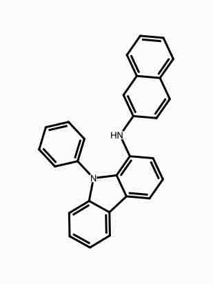 c1ccc(-n2c3ccccc3c3cccc(Nc4ccc5ccccc5c4)c32)cc1